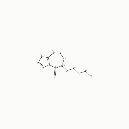 O=C1c2ccsc2SCCN1CCCCCl